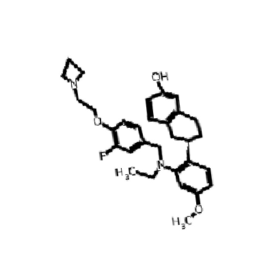 CCN(Cc1ccc(OCCN2CCC2)c(F)c1)c1cc(OC)ccc1[C@@H]1CCc2cc(O)ccc2C1